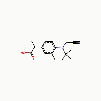 C#CCN1c2ccc(C(C)C(=O)O)cc2CCC1(C)C